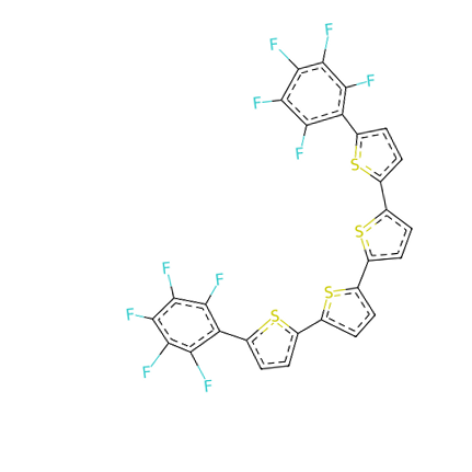 Fc1c(F)c(F)c(-c2ccc(-c3ccc(-c4ccc(-c5ccc(-c6c(F)c(F)c(F)c(F)c6F)s5)s4)s3)s2)c(F)c1F